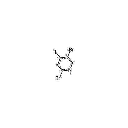 Brc1cc(I)c(Br)cn1